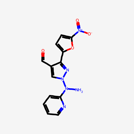 NN(c1ccccn1)n1cc(C=O)c(-c2ccc([N+](=O)[O-])o2)n1